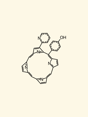 Oc1ccc(C2=C3C=CC(=N3)C=C3C=CC(=N3)C=C3C=CC(=N3)C=C3C=C(c4ccccn4)C2=N3)cc1